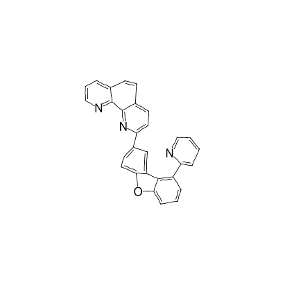 c1ccc(-c2cccc3oc4ccc(-c5ccc6ccc7cccnc7c6n5)cc4c23)nc1